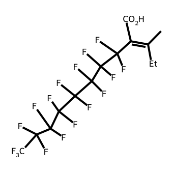 CCC(C)=C(C(=O)O)C(F)(F)C(F)(F)C(F)(F)C(F)(F)C(F)(F)C(F)(F)C(F)(F)C(F)(F)F